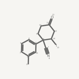 Cc1cccc(C2(C#N)CCC(=O)CC2I)c1